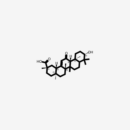 CC1(C)C2CCC3(C)[C@H](C(=O)C=C4[C@H]5C[C@@](C)(C(=O)O)CC[C@]5(C)CC[C@]43C)[C@@]2(C)CC[C@@H]1O